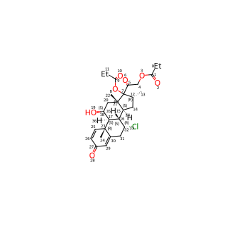 CCC(=O)OCC(=O)C1(OC(=O)CC)[C@H](C)C[C@H]2[C@H]3[C@H]([C@@H](O)C[C@@]21C)[C@@]1(C)C=CC(=O)C=C1C[C@H]3Cl